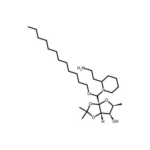 CCCCCCCCCCCCOC(N1CCCCC1CCN)[C@@]12O[C@@H](C)[C@@H](O)[C@@H]1OC(C)(C)O2